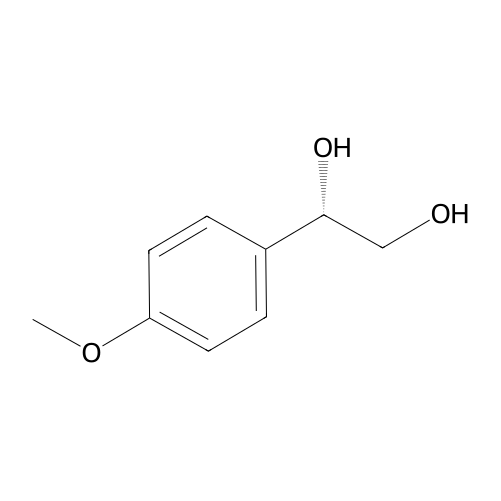 COc1ccc([C@H](O)CO)cc1